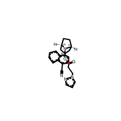 N#Cc1ccc(N2[C@@H]3CC[C@H]2C[C@@H](OC(=O)CCn2cccn2)C3)c2ccccc12